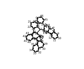 c1ccc(-c2nc3sc4ccccc4c3nc2C2c3ccccc3-c3c2c2oc4ccc5ccccc5c4c2c2ccccc32)cc1